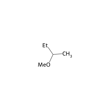 [CH2]CC(C)OC